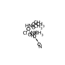 Cc1cc(C#Cc2ccncc2)cnc1NC(=O)c1cc(NC(=O)OC(C)(C)C)ccc1Cl